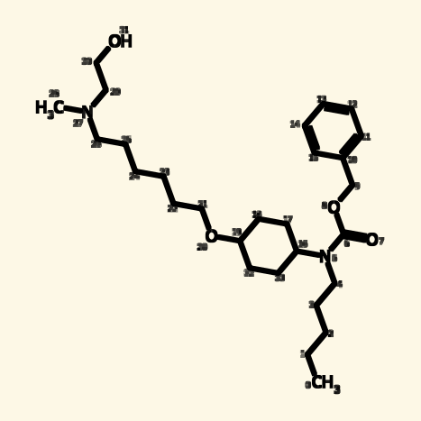 CCCCCN(C(=O)OCc1ccccc1)C1CCC(OCCCCCCN(C)CCO)CC1